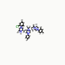 Cc1ccc(N2C[C@@H](CC[C@H]3CN(c4ccc(C)cc4C)C[C@@H](C)N3C(C)C)N(C(C)C)[C@@H](CC[C@@H]3CN(c4c(C)cc(C)cc4Cl)C[C@H](C)N3C)C2)cc1